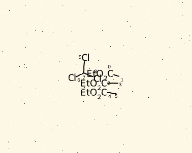 CCOC(C)=O.CCOC(C)=O.CCOC(C)=O.ClC(Cl)Cl